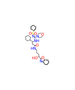 O=C(CC(NC(=NS(=O)(=O)c1ccccc1)N1CCOCC1)C1CCCCC1)NCCCC(O)c1nc2ccccc2o1